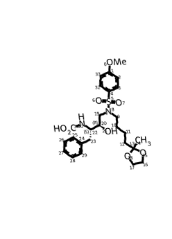 COc1ccc(S(=O)(=O)N(CCCCC2(C)OCCO2)C[C@@H](O)[C@H](Cc2ccccc2)NC(=O)O)cc1